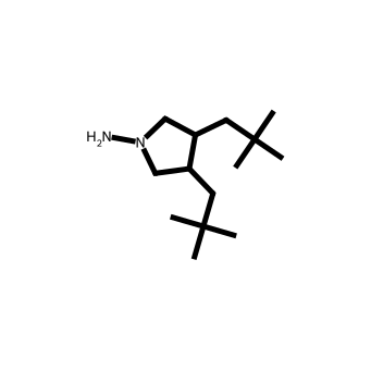 CC(C)(C)CC1CN(N)CC1CC(C)(C)C